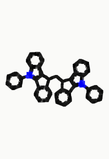 c1ccc(-n2c3c(c4ccccc42)C(CC2c4ccccc4-c4c2c2ccccc2n4-c2ccccc2)c2ccccc2-3)cc1